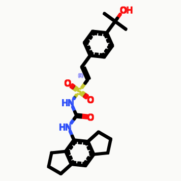 CC(C)(O)c1ccc(/C=C/S(=O)(=O)NC(=O)Nc2c3c(cc4c2CCC4)CCC3)cc1